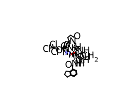 C=C1N[C@H]2[C@H](CN3C(=O)CCC3=O)N/C(=N\C(=O)OCC(Cl)(Cl)Cl)N3C[C@H](NC(=O)c4cccc5c4CCC5)C(O)(O)[C@]23N1